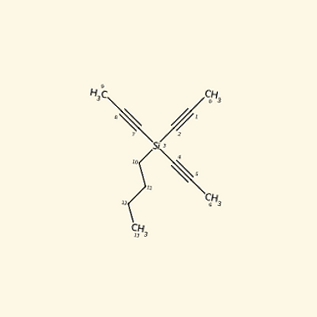 CC#C[Si](C#CC)(C#CC)CCCC